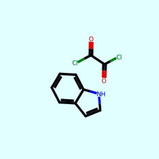 O=C(Cl)C(=O)Cl.c1ccc2[nH]ccc2c1